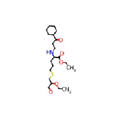 CCOC(=O)C(CCCSCC(C=O)OCC)NCCC(=O)C1CCCCC1